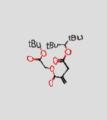 C=C(CC(=O)OC(C(C)(C)C)C(C)(C)C)C(=O)OCC(=O)OC(C)(C)C